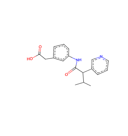 CC(C)C(C(=O)Nc1cccc(CC(=O)O)c1)c1cccnc1